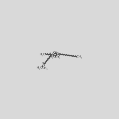 CCCCCCCCCCCCCCCCCC(=O)OC1CC(C)(C)N(OCC(CCCCCC)CCCCCCCCCC(=O)OCC(C)C)C(C)(C)C1